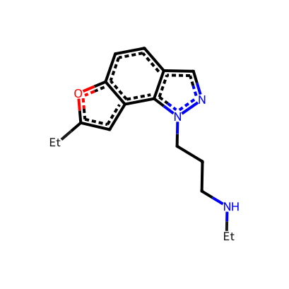 CCNCCCn1ncc2ccc3oc(CC)cc3c21